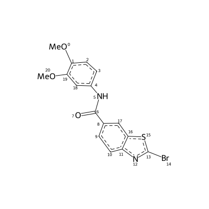 COc1ccc(NC(=O)c2ccc3nc(Br)sc3c2)cc1OC